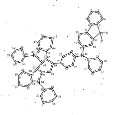 CC1(C)c2ccccc2-c2ccc(N(c3ccccc3)c3ccc(-c4cc5c(c6ccccc6n5-c5ccccc5)c5c4c4ccccc4n5-c4ccccc4)cc3)cc21